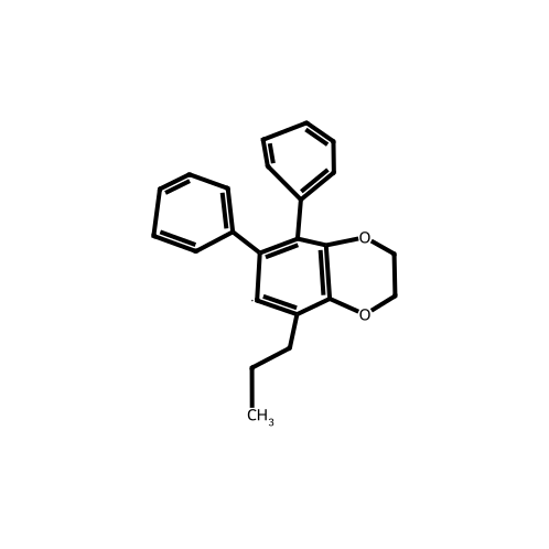 CCCc1[c]c(-c2ccccc2)c(-c2ccccc2)c2c1OCCO2